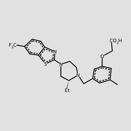 CC[C@@H]1CN(c2nc3ccc(C(F)(F)F)cc3s2)CCN1Cc1cc(C)cc(OCC(=O)O)c1